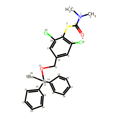 CN(C)C(=O)Sc1c(Cl)cc(CO[Si](c2ccccc2)(c2ccccc2)C(C)(C)C)cc1Cl